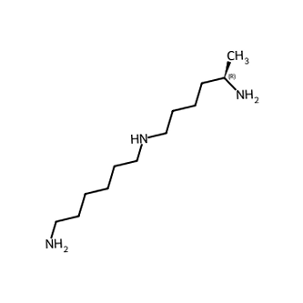 C[C@@H](N)CCCCNCCCCCCN